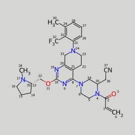 C=CC(=O)N1CCN(c2nc(OC[C@@H]3CCCN3C)nc3c2CCN(c2cccc(C)c2C(F)(F)F)C3)CC1CC#N